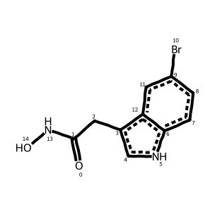 O=C(Cc1c[nH]c2ccc(Br)cc12)NO